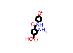 COc1ccc(NC(=O)c2ccc(C(=O)O)cc2N)cc1